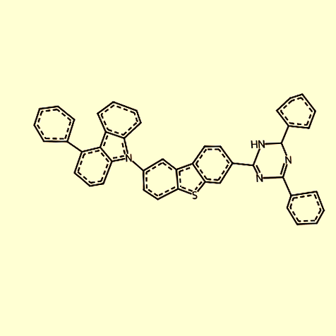 c1ccc(C2=NC(c3ccccc3)NC(c3ccc4c(c3)sc3ccc(-n5c6ccccc6c6c(-c7ccccc7)cccc65)cc34)=N2)cc1